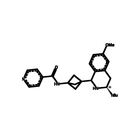 CCCC[C@H]1Cc2cc(OC)ccc2C(C23CC(NC(=O)c4ccncc4)(C2)C3)N1